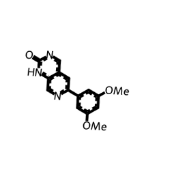 COc1cc(OC)cc(-c2cc3cnc(=O)[nH]c3cn2)c1